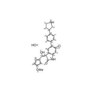 COc1cc(/C(O)=C2\C(=O)Nc3cc(Cl)c(-c4ccc(C5CCNC5)cc4)cc32)on1.Cl